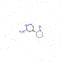 CCN1CCCC[C@H]1c1ccnc(N)c1